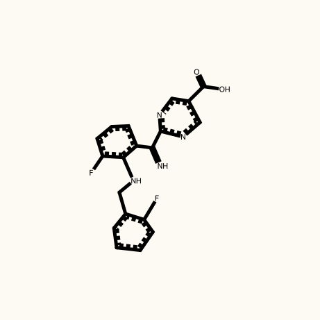 N=C(c1ncc(C(=O)O)cn1)c1cccc(F)c1NCc1ccccc1F